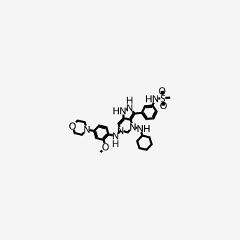 COc1cc(N2CCOCC2)ccc1NN1C=C2NNC(c3cccc(NS(C)(=O)=O)c3)=C2N(NC2CCCCC2)C1